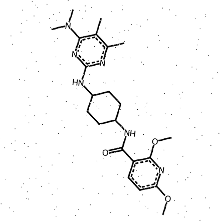 COc1ccc(C(=O)NC2CCC(Nc3nc(C)c(C)c(N(C)C)n3)CC2)c(OC)n1